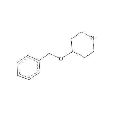 c1ccc(COC2CC[N]CC2)cc1